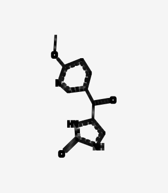 COc1ccc(C(=O)c2c[nH]c(=O)[nH]2)cn1